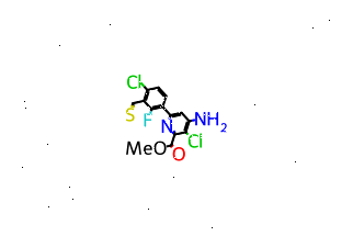 COC(=O)c1nc(-c2ccc(Cl)c(C=S)c2F)cc(N)c1Cl